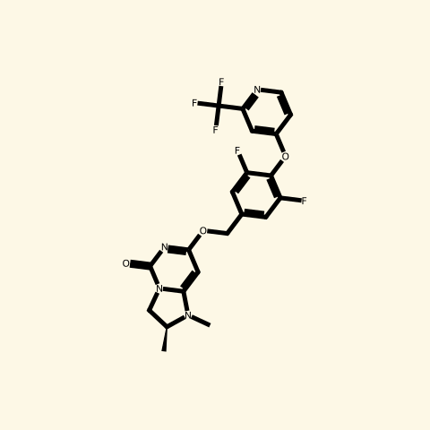 C[C@H]1Cn2c(cc(OCc3cc(F)c(Oc4ccnc(C(F)(F)F)c4)c(F)c3)nc2=O)N1C